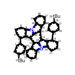 CC(C)(C)c1ccc(-c2cccc3c2c2c4c5ccccc5n5c6cccc(-c7ccc(C(C)(C)C)cc7)c6c(c6c7ccccc7n3c62)c45)cc1